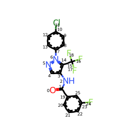 O=C(Nc1cnn(-c2ccc(Cl)cc2)c1C(F)(F)F)c1cccc(F)c1